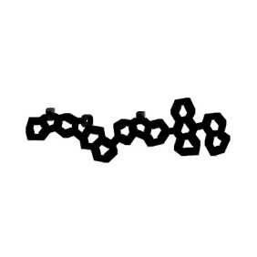 c1cc(-c2ccc3sc4cc(-c5c6ccccc6c(-c6cccc7ccccc67)c6ccccc56)ccc4c3c2)c2cc3oc4cc5sc6ccccc6c5cc4c3cc2c1